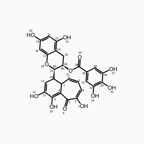 O=C1C(O)=CC=CC2C1=C(O)C(O)=CC2[C@H]1Oc2cc(O)cc(O)c2C[C@H]1OC(=O)c1cc(O)c(O)c(O)c1